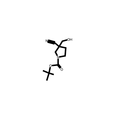 CC(C)(C)OC(=O)N1CCC(C#N)(CO)C1